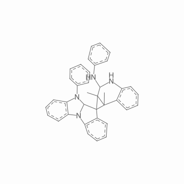 CC12c3ccccc3NC(Nc3ccccc3)C1(C)C21c2ccccc2N2c3ccccc3N(c3ccccc3)C21